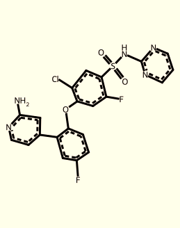 Nc1cc(-c2cc(F)ccc2Oc2cc(F)c(S(=O)(=O)Nc3ncccn3)cc2Cl)ccn1